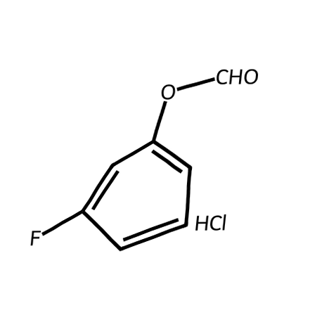 Cl.O=COc1cccc(F)c1